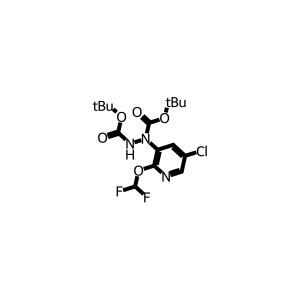 CC(C)(C)OC(=O)NN(C(=O)OC(C)(C)C)c1cc(Cl)cnc1OC(F)F